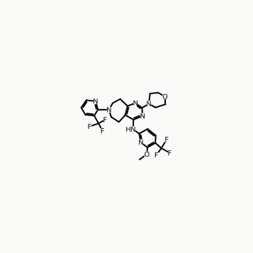 COc1nc(Nc2nc(N3CCOCC3)nc3c2CCN(c2ncccc2C(F)(F)F)CC3)ccc1C(F)(F)F